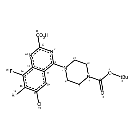 CC(C)(C)OC(=O)N1CCN(c2nc(C(=O)O)nc3c(F)c(Br)c(Cl)cc23)CC1